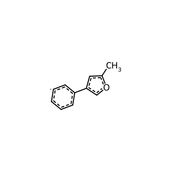 Cc1cc(-c2c[c]ccc2)co1